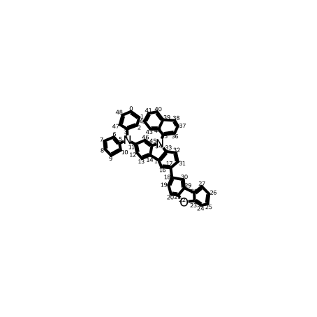 c1ccc(N(c2ccccc2)c2ccc3c4cc(-c5ccc6oc7ccccc7c6c5)ccc4n(-c4cccc5ccccc45)c3c2)cc1